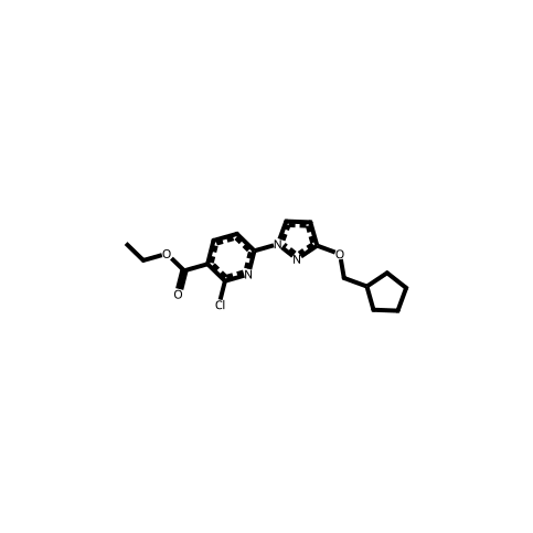 CCOC(=O)c1ccc(-n2ccc(OCC3CCCC3)n2)nc1Cl